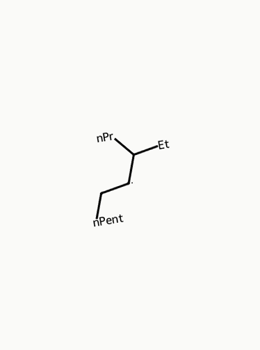 CCCCCC[CH]C(CC)CCC